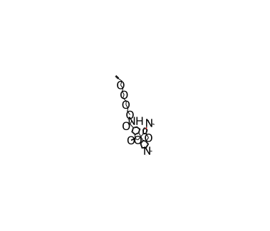 C#CCOCCOCCOCCOCNC(=O)c1ccc2c(c1)C(=O)OC21c2ccc(N(C)C)cc2Oc2cc(N(C)C)ccc21